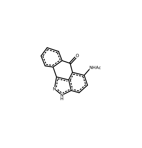 CC(=O)Nc1ccc2[nH]nc3c2c1C(=O)c1ccccc1-3